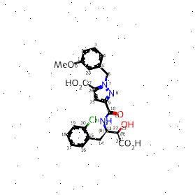 COc1cccc(Cn2nc(C(=O)N[C@H](Cc3ccccc3Cl)[C@@H](O)C(=O)O)cc2C(=O)O)c1